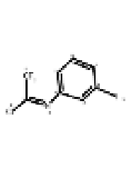 FC(F)(F)/C(Cl)=N\c1cccc(I)c1